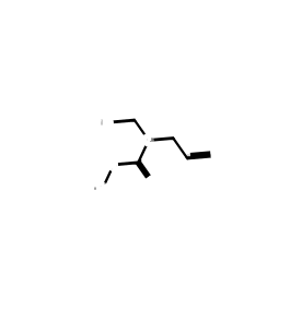 C=CCN(CC(C)C)C(=S)SCCC